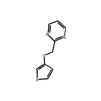 [c]1sccc1OCc1ncccn1